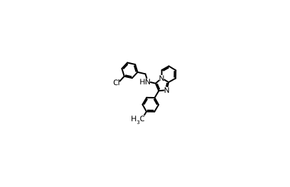 Cc1ccc(-c2nc3ccccn3c2NCc2cccc(Cl)c2)cc1